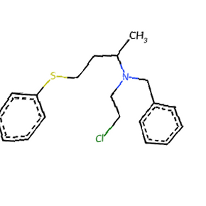 CC(CCSc1ccccc1)N(CCCl)Cc1ccccc1